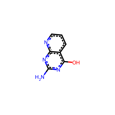 Nc1nc(O)c2cccnc2n1